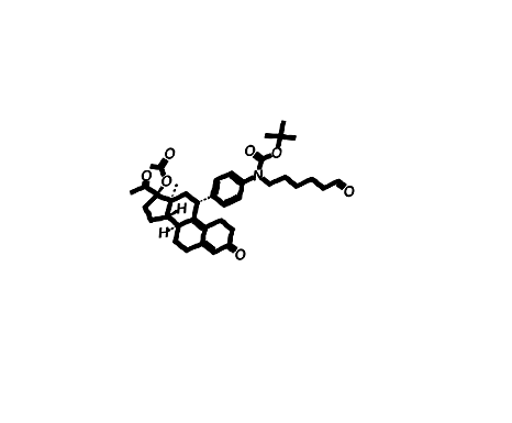 CC(=O)O[C@]1(C(C)=O)CC[C@H]2[C@@H]3CCC4=CC(=O)CCC4=C3[C@@H](c3ccc(N(CCCCCC=O)C(=O)OC(C)(C)C)cc3)C[C@@]21C